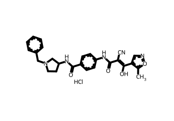 Cc1oncc1/C(O)=C(\C#N)C(=O)Nc1ccc(C(=O)NC2CCN(Cc3ccccc3)C2)cc1.Cl